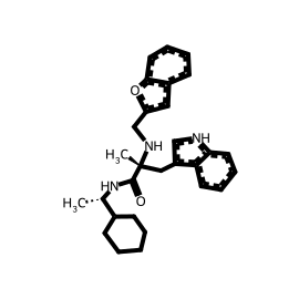 C[C@H](NC(=O)[C@@](C)(Cc1c[nH]c2ccccc12)NCc1cc2ccccc2o1)C1CCCCC1